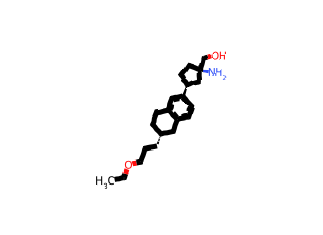 CCOCCC[C@@H]1CCc2cc([C@H]3CC[C@](N)(CO)C3)ccc2C1